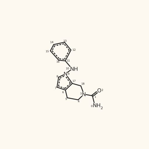 NC(=O)N1CCc2ccn(Nc3ccccc3)c2C1